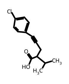 CC(C)C(CC#Cc1ccc(Cl)cc1)C(=O)O